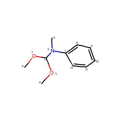 COC(OC)N(C)c1ccccc1